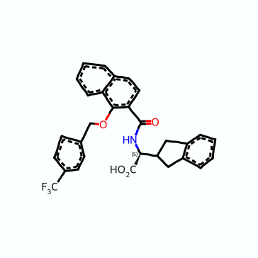 O=C(N[C@H](C(=O)O)C1Cc2ccccc2C1)c1ccc2ccccc2c1OCc1ccc(C(F)(F)F)cc1